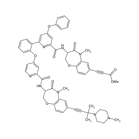 COC(=O)C#Cc1ccc2c(c1)N(C)C(=O)C(NC(=O)c1cc(Oc3ccccc3)cc(-c3ccccc3Oc3ccnc(C(=O)NC4COc5ccc(C#CC(C)(C)N6CCN(C)CC6)cc5N(C)C4=O)c3)n1)CO2